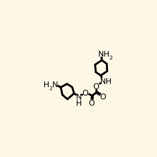 NC1CCC(NOC(=O)C(=O)ONC2CCC(N)CC2)CC1